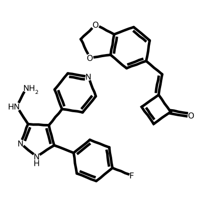 NNc1n[nH]c(-c2ccc(F)cc2)c1-c1ccncc1.O=C1C=CC1=Cc1ccc2c(c1)OCO2